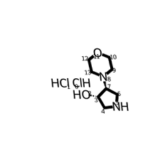 Cl.Cl.O[C@H]1CNC[C@@H]1N1CCOCC1